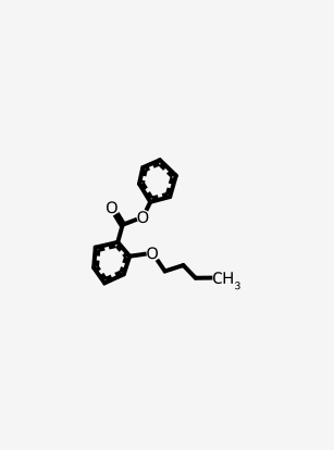 CCCCOc1ccccc1C(=O)Oc1ccccc1